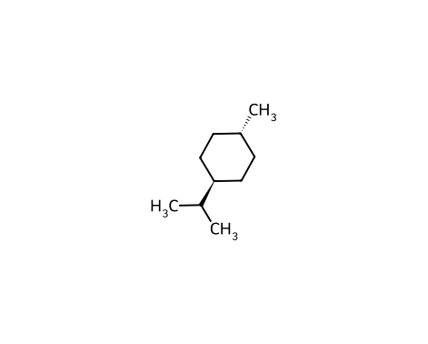 CC(C)[C@H]1CC[C@H](C)CC1